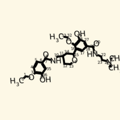 CCOc1ccc(C(=O)NCC2CCOC(c3cc(C(=O)NCCN(C)C)cc(O)c3OCC)C2)cc1O